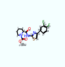 CC(C)(C)OC(=O)N1CCCC[C@H]1C(=O)Nc1nc(-c2ccc(F)c(F)c2)cs1